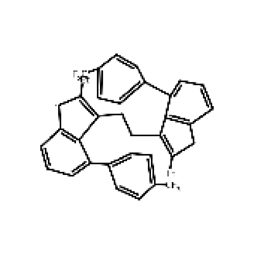 CCC1=C(CCC2=C(CC)[CH]c3cccc(-c4ccc(C(F)(F)F)cc4)c32)c2c(cccc2-c2ccc(C(F)(F)F)cc2)[CH]1